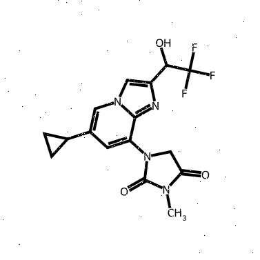 CN1C(=O)CN(c2cc(C3CC3)cn3cc(C(O)C(F)(F)F)nc23)C1=O